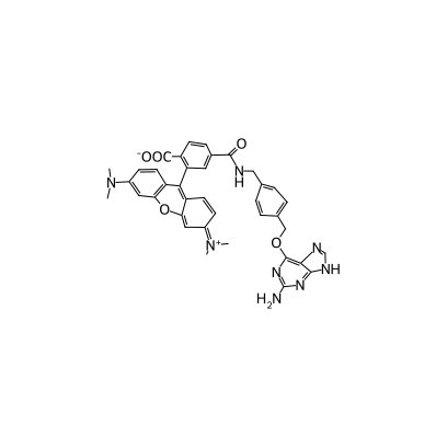 CN(C)c1ccc2c(-c3cc(C(=O)NCc4ccc(COc5nc(N)nc6[nH]cnc56)cc4)ccc3C(=O)[O-])c3ccc(=[N+](C)C)cc-3oc2c1